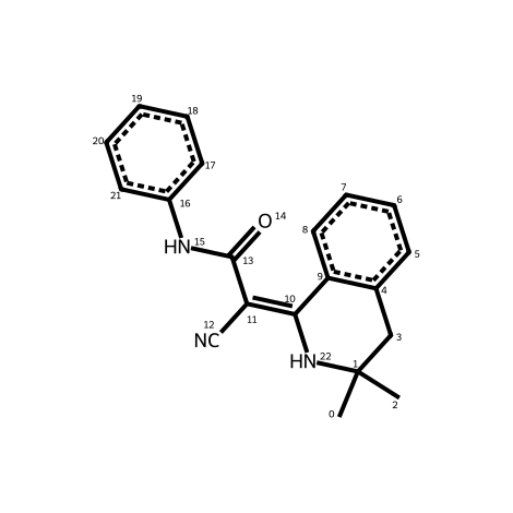 CC1(C)Cc2ccccc2C(=C(C#N)C(=O)Nc2ccccc2)N1